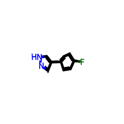 Fc1ccc(-c2[c]n[nH]c2)cc1